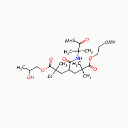 CCC(C)(CC(CC(C)(C)C(=O)OCCOC)C(=O)NC(C)(C)C(=O)SC)C(=O)OCC(C)O